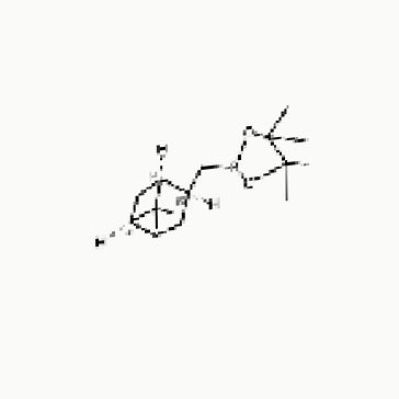 CC1(C)[C@H]2CC[C@H](CB3OC(C)(C)C(C)(C)O3)[C@@H]1C2